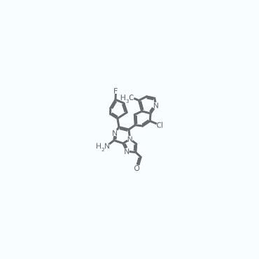 Cc1ccnc2c(Cl)cc(-c3c(-c4ccc(F)cc4)nc(N)c4nc(C=O)cn34)cc12